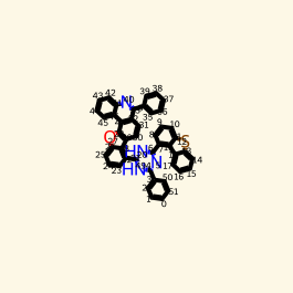 c1ccc(C2=NC(c3cccc4sc5ccccc5c34)NC(c3cccc4oc5c(ccc6c(-c7ccccc7)nc7ccccc7c65)c34)N2)cc1